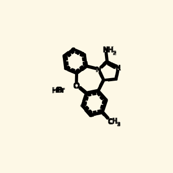 Br.Cc1ccc2c(c1)C1CN=C(N)N1c1ccccc1O2